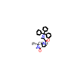 CC(C)[C@@H](C(=O)O)N(C)C(=O)[C@H]1CCN(C(=O)C2CN2C(c2ccccc2)(c2ccccc2)c2ccccc2)C1